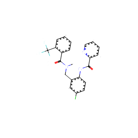 CN(Cc1cc(Cl)ccc1NC(=O)c1ccccn1)C(=O)c1ccccc1C(F)(F)F